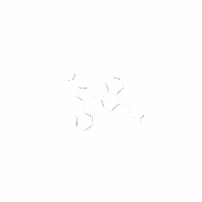 COc1cccc(OC)c1-c1cc(C(=O)Cl)nn1-c1ccc(CNC(C)=O)c2ccccc12